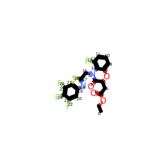 CCOC(=O)CC1Oc2cccc(F)c2N(Cc2nc3cc(F)c(F)c(F)c3s2)C1=O